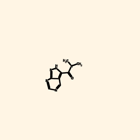 CN(C)C(=O)c1[nH]nc2ncncc12